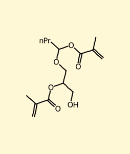 C=C(C)C(=O)OC(CO)COC(CCC)OC(=O)C(=C)C